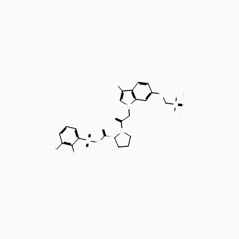 CC(=O)c1cn(CC(=O)N2C[C@H](F)C[C@H]2C(=O)NS(=O)(=O)c2cccc(Cl)c2F)c2cc(OCP(=O)(O)O)ccc12